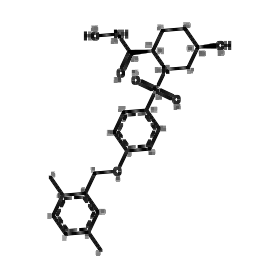 Cc1ccc(C)c(COc2ccc(S(=O)(=O)N3C[C@H](O)CC[C@@H]3C(=O)NO)cc2)c1